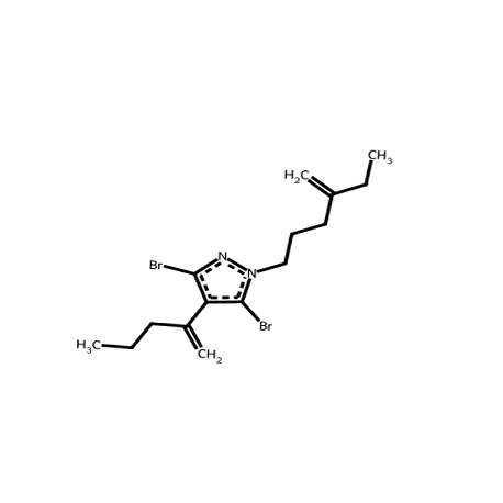 C=C(CC)CCCn1nc(Br)c(C(=C)CCC)c1Br